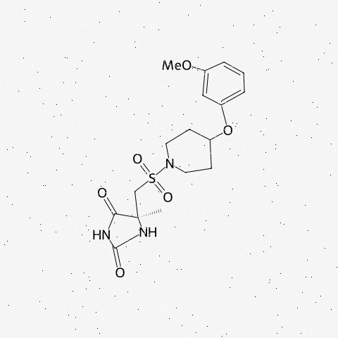 COc1cccc(OC2CCN(S(=O)(=O)C[C@@]3(C)NC(=O)NC3=O)CC2)c1